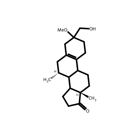 COC1(CO)CCC2=C(C[C@@H](C)C3C2CC[C@]2(C)C(=O)CCC32)C1